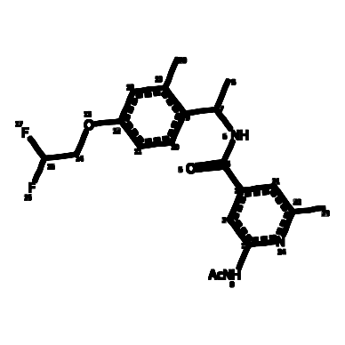 CC(=O)Nc1cc(C(=O)NC(C)c2ccc(OCC(F)F)cc2C)cc(C)n1